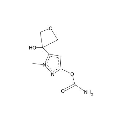 Cn1nc(OC(N)=O)cc1C1(O)COC1